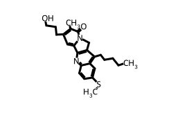 CCCCCc1c2c(nc3ccc(SC)cc13)-c1cc(CCCO)c(C)c(=O)n1C2